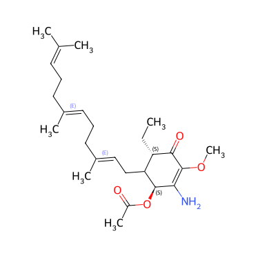 CC[C@@H]1C(=O)C(OC)=C(N)[C@@H](OC(C)=O)C1C/C=C(\C)CC/C=C(\C)CCC=C(C)C